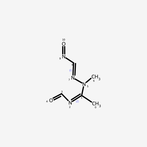 C/C(=N/C=O)N(C)/N=C/N=O